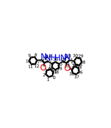 c1ccc(Oc2c(-c3ccccc3)n[nH]c2-c2cccc(-c3[nH]nc(-c4ccccc4)c3Oc3ccccc3)c2)cc1